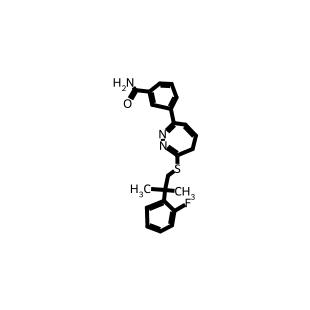 CC(C)(CSC1=NN=C(c2cccc(C(N)=O)c2)C=CC1)c1ccccc1F